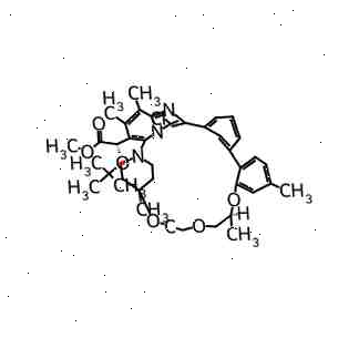 COC(=O)[C@@H](OC(C)(C)C)c1c(C)c(C)c2nc3c(Cl)n2c1N1CCC(C)(CC1)OCCOC[C@H](C)Oc1cc(C)ccc1-c1cccc-3c1